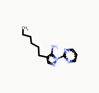 CCCCCCc1cnn(-c2ncccn2)c1N